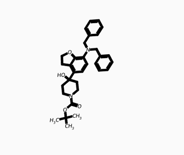 CC(C)(C)OC(=O)N1CCC(O)(c2ccc(N(Cc3ccccc3)Cc3ccccc3)c3c2CCO3)CC1